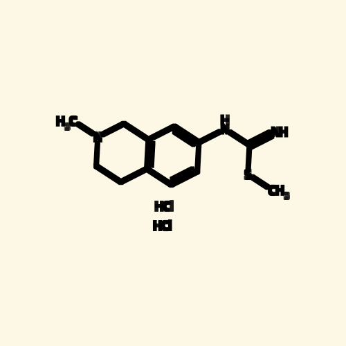 CSC(=N)Nc1ccc2c(c1)CN(C)CC2.Cl.Cl